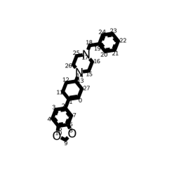 C1=C(c2ccc3c(c2)OCO3)CCC(N2CCN(Cc3ccccc3)CC2)C1